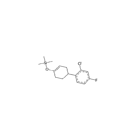 C[Si](C)(C)OC1=CCC(c2ccc(F)cc2Cl)CC1